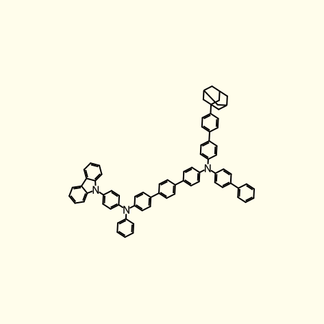 c1ccc(-c2ccc(N(c3ccc(-c4ccc(-c5ccc(N(c6ccccc6)c6ccc(-n7c8ccccc8c8ccccc87)cc6)cc5)cc4)cc3)c3ccc(-c4ccc(C56CC7CC(CC(C7)C5)C6)cc4)cc3)cc2)cc1